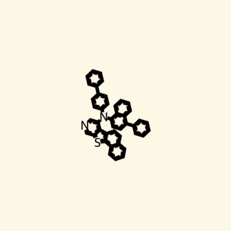 c1ccc(-c2ccc(N(c3ccc(-c4ccccc4)c4ccccc34)c3cncc4sc5c6ccccc6ccc5c34)cc2)cc1